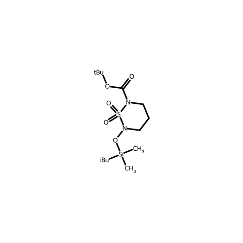 CC(C)(C)OC(=O)N1CCCN(O[Si](C)(C)C(C)(C)C)S1(=O)=O